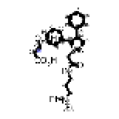 CCN(CC)CCCNC(=O)Cn1ncc(-c2ccccc2)c1-c1ccccc1.O=C(O)/C=C/C(=O)O